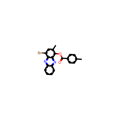 Cc1ccc(C(=O)Oc2c(C)cc(Br)c3nc4ccccc4nc23)cc1